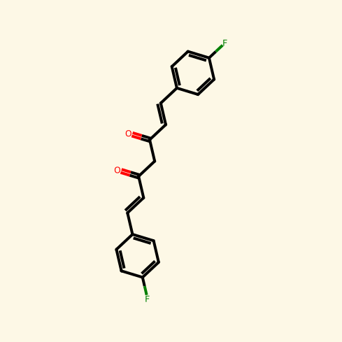 O=C(/C=C/c1ccc(F)cc1)CC(=O)/C=C/c1ccc(F)cc1